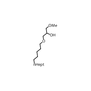 CCCCCCCCCCCCOCC(O)COC